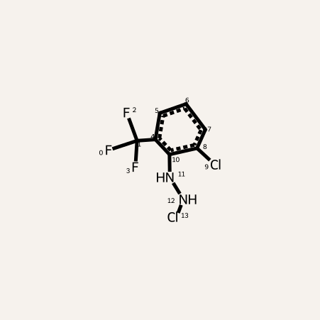 FC(F)(F)c1cccc(Cl)c1NNCl